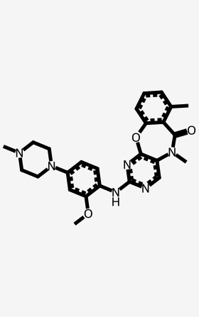 COc1cc(N2CCN(C)CC2)ccc1Nc1ncc2c(n1)Oc1cccc(C)c1C(=O)N2C